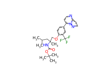 CC(C)CC(C)(COc1ccc(-c2ccnc3ccnn23)cc1C(F)(F)F)NC(=O)OC(C)(C)C